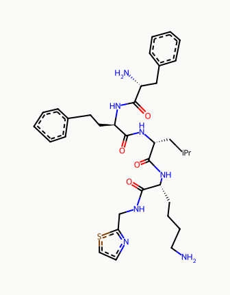 CC(C)C[C@@H](NC(=O)[C@@H](CCc1ccccc1)NC(=O)[C@H](N)Cc1ccccc1)C(=O)N[C@H](CCCCN)C(=O)NCc1nccs1